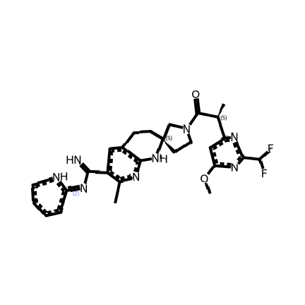 COc1cc([C@H](C)C(=O)N2CC[C@@]3(CCc4cc(C(=N)/N=c5/cccc[nH]5)c(C)nc4N3)C2)nc(C(F)F)n1